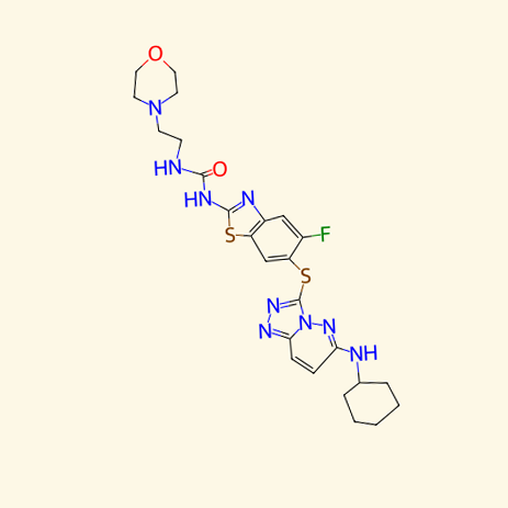 O=C(NCCN1CCOCC1)Nc1nc2cc(F)c(Sc3nnc4ccc(NC5CCCCC5)nn34)cc2s1